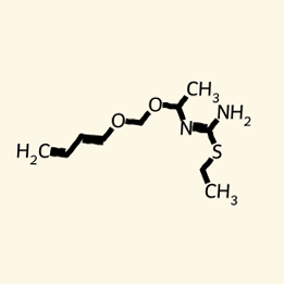 C=C/C=C/OCOC(C)/N=C(\N)SCC